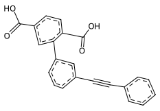 O=C(O)c1ccc(C(=O)O)c(-c2cccc(C#Cc3ccccc3)c2)c1